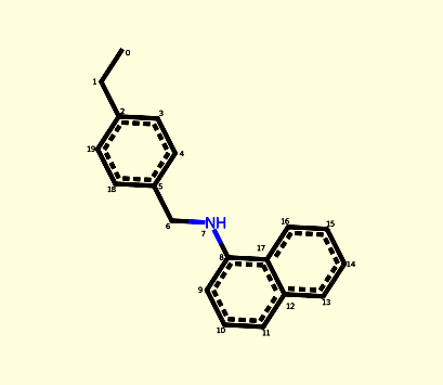 CCc1ccc(CNc2cccc3ccccc23)cc1